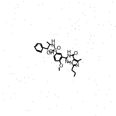 CCCc1nc(C)c2c(=O)[nH]c(-c3cc(S(=O)(=O)NC(C)[C@H](O)c4ccccc4)ccc3OCC)nn12